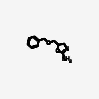 NC1=NCC(COCc2ccccc2)O1